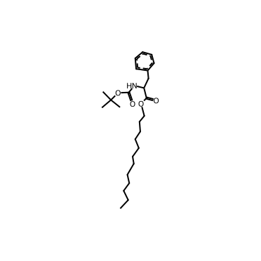 CCCCCCCCCCCCOC(=O)C(Cc1ccccc1)NC(=O)OC(C)(C)C